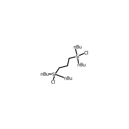 CCCC[Si](Cl)(CCCC)CCC[Si](Cl)(CCCC)CCCC